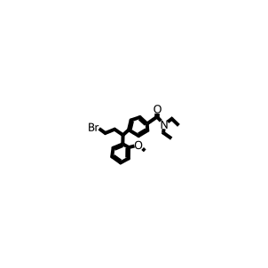 CCN(CC)C(=O)c1ccc(C(CCBr)c2ccccc2OC)cc1